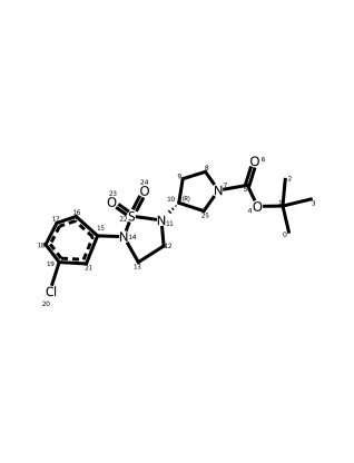 CC(C)(C)OC(=O)N1CC[C@@H](N2CCN(c3cccc(Cl)c3)S2(=O)=O)C1